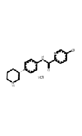 Cl.O=C(Nc1ccc([C@H]2CCCNC2)cc1)c1ccc(Cl)cn1